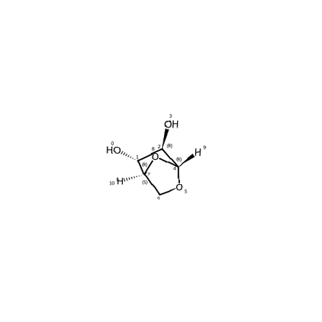 O[C@@H]1[C@@H](O)[C@@H]2OC[C@@H]1O2